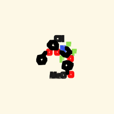 COC(=O)C12CCC(Oc3c(F)c(F)nc(Oc4cc(C#N)ccc4OCc4ccccc4)c3F)(CC1)C2